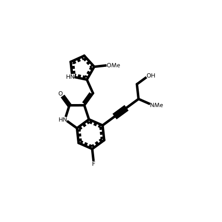 CNC(C#Cc1cc(F)cc2c1C(=Cc1[nH]ccc1OC)C(=O)N2)CO